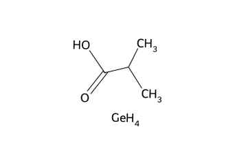 CC(C)C(=O)O.[GeH4]